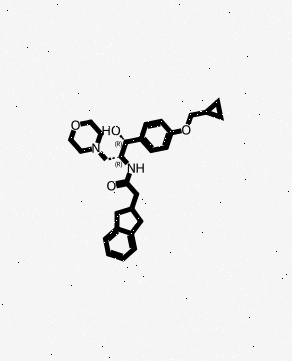 O=C(CC1Cc2ccccc2C1)N[C@H](CN1CCOCC1)[C@H](O)c1ccc(OCC2CC2)cc1